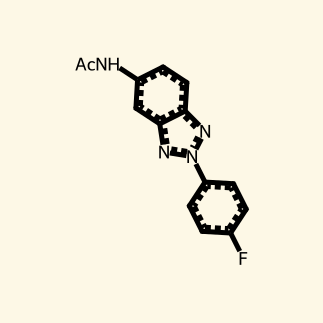 CC(=O)Nc1ccc2nn(-c3ccc(F)cc3)nc2c1